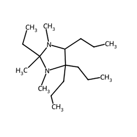 CCCC1N(C)C(C)(CC)N(C)C1(CCC)CCC